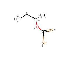 CC[C@H](C)OC(=S)S